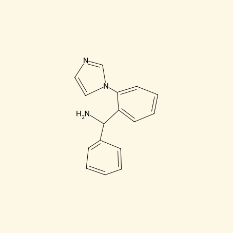 NC(c1ccccc1)c1ccccc1-n1ccnc1